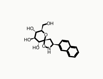 OC[C@H]1O[C@@]2(C[C@@H](c3ccc4ccccc4c3)NO2)[C@H](O)[C@@H](O)[C@@H]1O